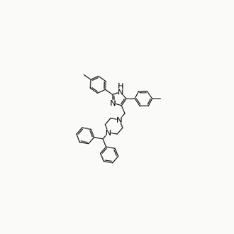 Cc1ccc(-c2nc(CN3CCN(C(c4ccccc4)c4ccccc4)CC3)c(-c3ccc(C)cc3)[nH]2)cc1